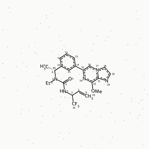 C=CC(NC(=O)N(CC)[C@H](C)c1cccc(-c2cn3ccnc3c(OC)n2)c1)C(F)(F)F